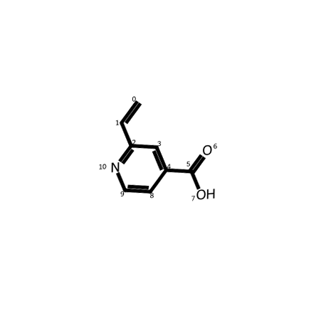 C=Cc1cc(C(=O)O)ccn1